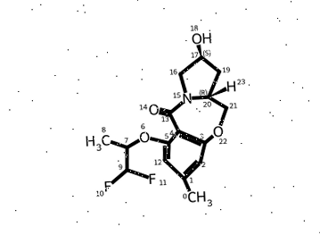 Cc1cc2c(c(OC(C)C(F)F)c1)C(=O)N1C[C@@H](O)C[C@@H]1CO2